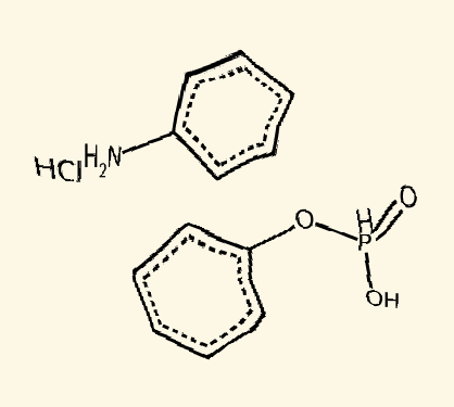 Cl.Nc1ccccc1.O=[PH](O)Oc1ccccc1